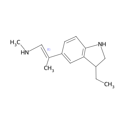 CCC1CNc2ccc(/C(C)=C/NC)cc21